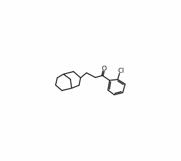 O=C(CCC1CC2CCCC(C2)C1)c1ccccc1Cl